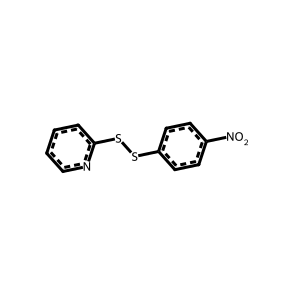 O=[N+]([O-])c1ccc(SSc2ccccn2)cc1